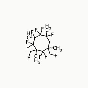 CC1(F)CC(C)(CF)C(F)(F)C(C)(CF)C(F)(F)C(C)(F)C1(F)F